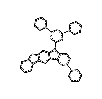 c1ccc(-c2ccc3c(n2)c2cc4c(cc2n3-c2nc(-c3ccccc3)nc(-c3ccccc3)n2)sc2ccccc24)cc1